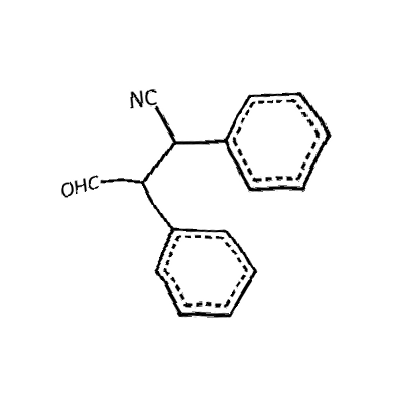 N#CC(c1ccccc1)C(C=O)c1ccccc1